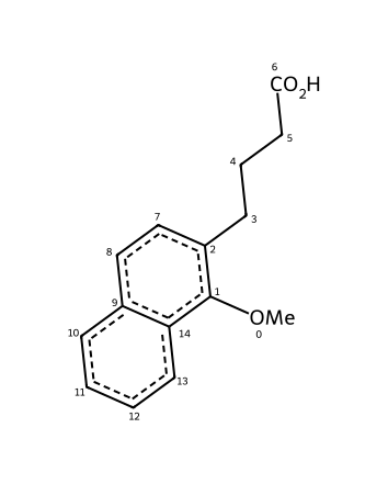 COc1c(CCCC(=O)O)ccc2ccccc12